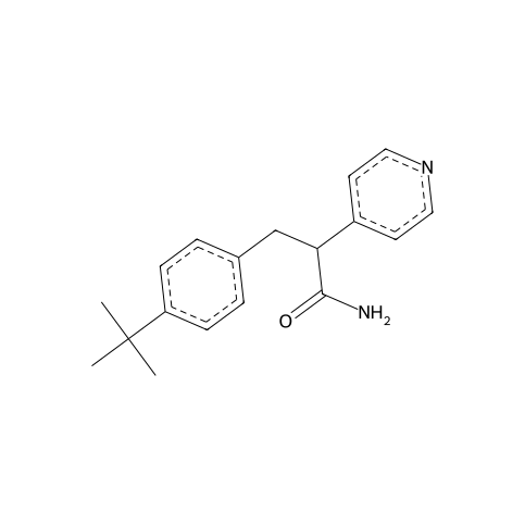 CC(C)(C)c1ccc(CC(C(N)=O)c2ccncc2)cc1